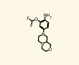 Nc1ccc(N2CCN3CCOCC3C2)cc1OC(F)F